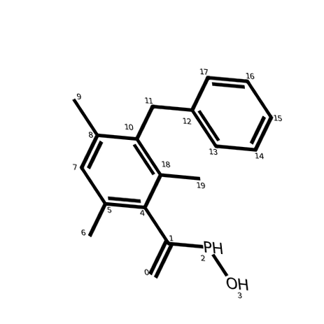 C=C(PO)c1c(C)cc(C)c(Cc2ccccc2)c1C